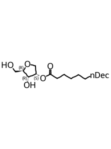 CCCCCCCCCCCCCCCC(=O)O[C@H]1CO[C@H](CO)[C@H]1O